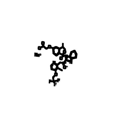 Cc1c(OCC(F)(F)F)ccnc1C[S+]([O-])c1nc2ccccc2n1S(=O)(=O)c1ccc(OCC(=O)[O-])cc1C(C)C.[Na+]